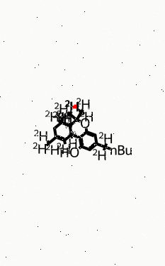 [2H]C1=C(C([2H])([2H])[2H])CC([2H])([2H])[C@]2([2H])[C@@H]1c1c(O)cc(C([2H])([2H])CCCC)cc1OC2(C([2H])([2H])[2H])C([2H])([2H])[2H]